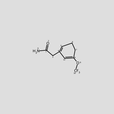 NC(=O)CC1=CCCC(OC(F)(F)F)=C1